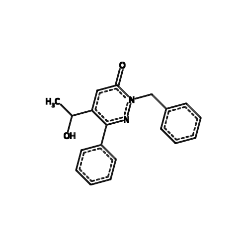 CC(O)c1cc(=O)n(Cc2ccccc2)nc1-c1ccccc1